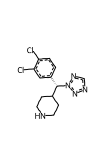 Clc1ccc([C@@H](C2CCNCC2)n2ncnn2)cc1Cl